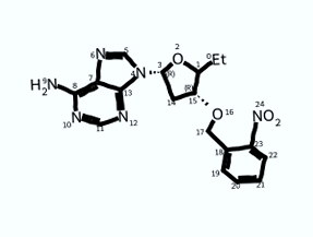 CCC1O[C@@H](n2cnc3c(N)ncnc32)C[C@H]1OCc1ccccc1[N+](=O)[O-]